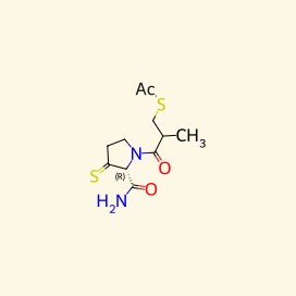 CC(=O)SCC(C)C(=O)N1CCC(=S)[C@H]1C(N)=O